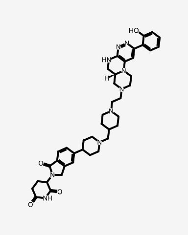 O=C1CCC(N2Cc3cc(C4CCN(CC5CCN(CCN6CCN7c8cc(-c9ccccc9O)nnc8NC[C@H]7C6)CC5)CC4)ccc3C2=O)C(=O)N1